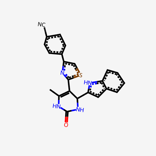 CC1=C(c2nc(-c3ccc(C#N)cc3)cs2)C(c2cc3ccccc3[nH]2)NC(=O)N1